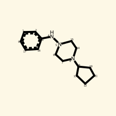 c1ccc(NN2CCN(C3CCCC3)CC2)cc1